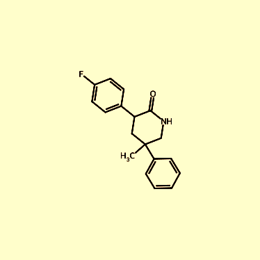 CC1(c2ccccc2)CNC(=O)C(c2ccc(F)cc2)C1